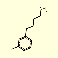 NC[CH]CCc1cccc(F)c1